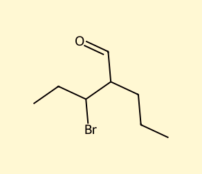 CCCC(C=O)C(Br)CC